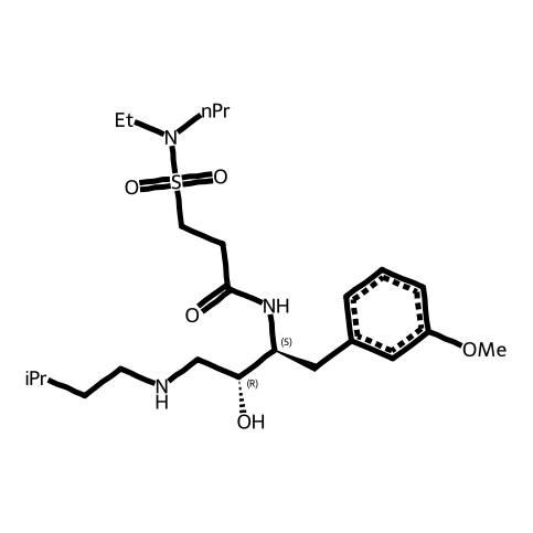 CCCN(CC)S(=O)(=O)CCC(=O)N[C@@H](Cc1cccc(OC)c1)[C@H](O)CNCCC(C)C